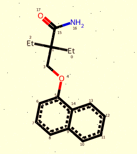 CCC(CC)(COc1cccc2ccccc12)C(N)=O